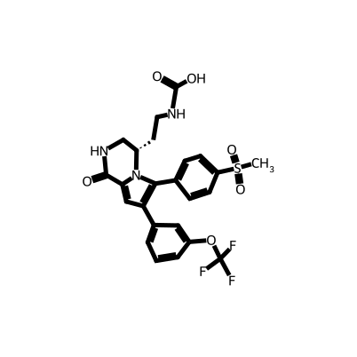 CS(=O)(=O)c1ccc(-c2c(-c3cccc(OC(F)(F)F)c3)cc3n2[C@@H](CCNC(=O)O)CNC3=O)cc1